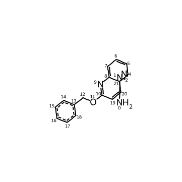 NN1CN=C2C=CC=C3N=C(OCc4ccccc4)C=CC321